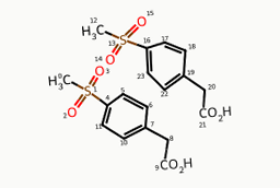 CS(=O)(=O)c1ccc(CC(=O)O)cc1.CS(=O)(=O)c1ccc(CC(=O)O)cc1